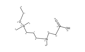 CCO[Si](C)(C)CCCN(C)CCC(=O)O